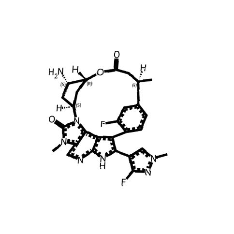 C[C@@H]1CC(=O)O[C@@H]2C[C@H](C[C@@H]2N)n2c(=O)n(C)c3cnc4[nH]c(-c5cn(C)nc5F)c(c4c32)-c2ccc1cc2F